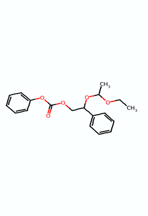 CCOC(C)OC(COC(=O)Oc1ccccc1)c1ccccc1